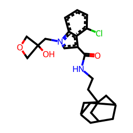 O=C(NCCC12CC3CC(CC(C3)C1)C2)c1cn(CC2(O)COC2)c2cccc(Cl)c12